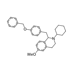 COc1ccc2c(c1)CCN(C1CCCCC1)C2Cc1ccc(OCc2ccccc2)cc1